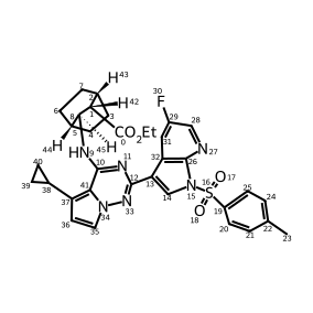 CCOC(=O)[C@H]1[C@H]2CC[C@H](CC2)[C@@H]1Nc1nc(-c2cn(S(=O)(=O)c3ccc(C)cc3)c3ncc(F)cc23)nn2ccc(C3CC3)c12